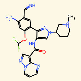 CN1CCCC(n2cc(NC(=O)c3cnn4cccnc34)c(-c3cc(C=N)c(N)cc3OC(F)F)n2)C1